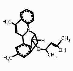 CC1=CC2c3cc(C)cc4c3[C@@H](OC(C)/C=C(/C)O)C(C4)N2c2ccccc21